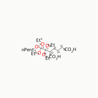 CCCCCOC(OCC)(OCC)C(OCC)(OCC)C(CCCC(=O)O)C(=O)O